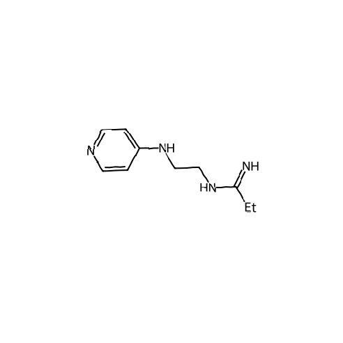 CCC(=N)NCCNc1ccncc1